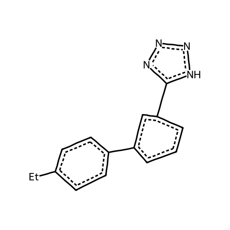 CCc1ccc(-c2cccc(-c3nnn[nH]3)c2)cc1